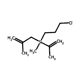 C=C(C)C[Si](C)(CCCCl)C(=C)C